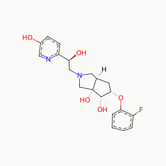 Oc1ccc([C@@H](O)CN2C[C@H]3C[C@H](Oc4ccccc4F)[C@H](O)[C@@]3(O)C2)nc1